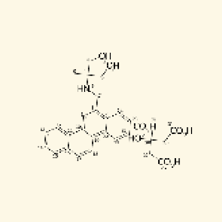 CC(CO)(CO)NCc1cc2c3ccccc3ccc2c2ccccc12.O=C(O)CC(O)(CC(=O)O)C(=O)O